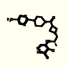 C[C@@H](CN1CC(C(=O)N2CCN(c3ncc(C(F)(F)F)cn3)CC2)C1)Nc1cn[nH]c(=O)c1Cl